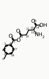 Cc1ccc(C(=O)OC(=O)CC[C@H](N)C(=O)O)cc1